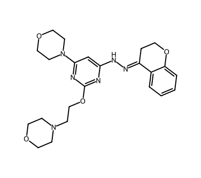 c1ccc2c(c1)OCCC2=NNc1cc(N2CCOCC2)nc(OCCN2CCOCC2)n1